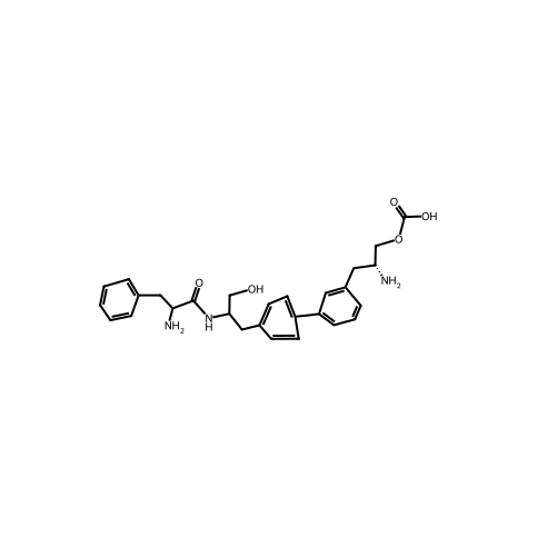 NC(Cc1ccccc1)C(=O)NC(CO)Cc1ccc(-c2cccc(C[C@@H](N)COC(=O)O)c2)cc1